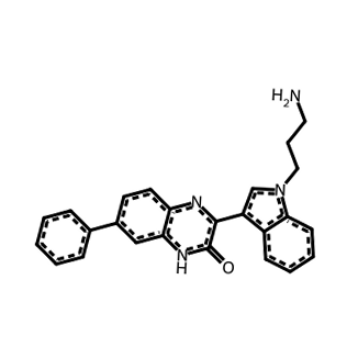 NCCCn1cc(-c2nc3ccc(-c4ccccc4)cc3[nH]c2=O)c2ccccc21